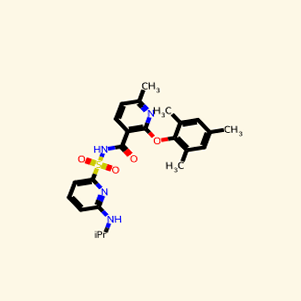 Cc1cc(C)c(Oc2nc(C)ccc2C(=O)NS(=O)(=O)c2cccc(NC(C)C)n2)c(C)c1